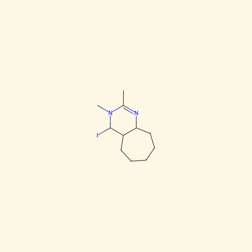 CC1=NC2CCCCCC2C(I)N1C